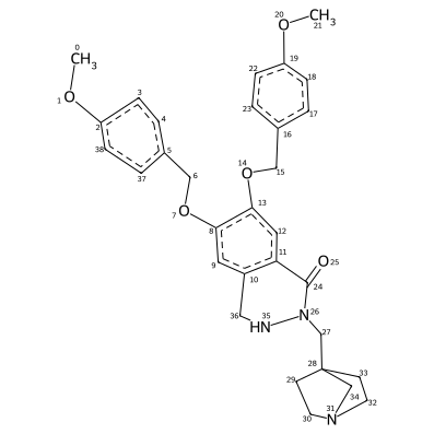 COc1ccc(COc2cc3c(cc2OCc2ccc(OC)cc2)C(=O)N(CC24CCN(CC2)C4)NC3)cc1